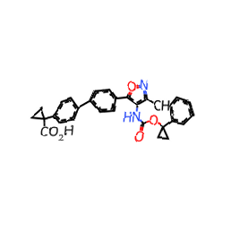 Cc1noc(-c2ccc(-c3ccc(C4(C(=O)O)CC4)cc3)cc2)c1NC(=O)OC1(c2ccccc2)CC1